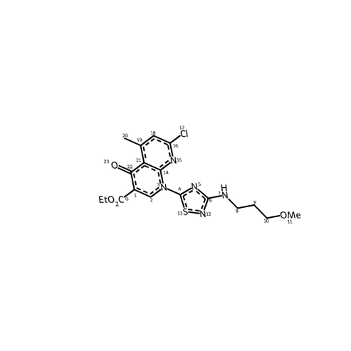 CCOC(=O)c1cn(-c2nc(NCCCOC)ns2)c2nc(Cl)cc(C)c2c1=O